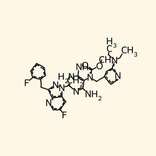 C=C(/N=C(/N)C(=C(N)N)N(Cc1ccnc(N(CC)CC)c1)C(=O)OC)n1nc(Cc2ccccc2F)c2ncc(F)cc21